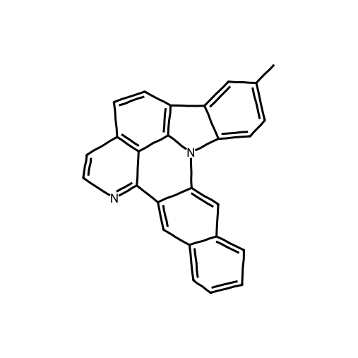 Cc1ccc2c(c1)c1ccc3ccnc4c5cc6ccccc6cc5n2c1c34